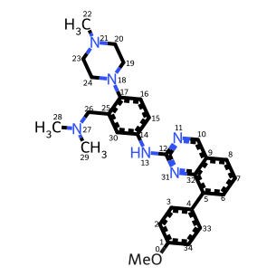 COc1ccc(-c2cccc3cnc(Nc4ccc(N5CCN(C)CC5)c(CN(C)C)c4)nc23)cc1